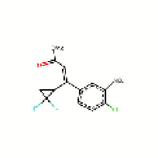 COC(=O)C=C(c1ccc(Cl)c([N+](=O)[O-])c1)C1CC1(F)F